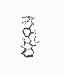 CCN(C)Cc1c(Cc2cccc(NS(=O)(=O)NC)c2Cl)c(=O)oc2c[c]ccc12